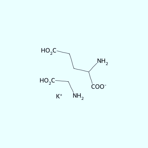 NC(CCC(=O)O)C(=O)[O-].NCC(=O)O.[K+]